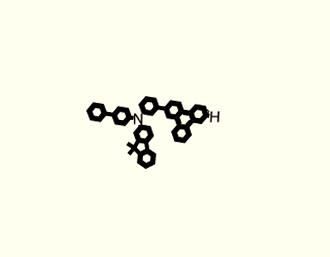 [2H]c1ccc2c3ccc(-c4cccc(N(c5ccc(-c6ccccc6)cc5)c5ccc6c(c5)C(C)(C)c5ccccc5-6)c4)cc3c3ccccc3c2c1